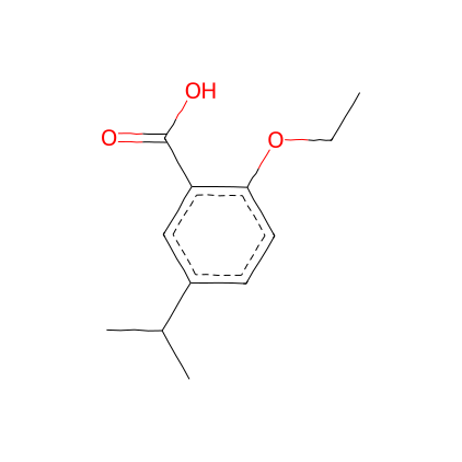 CCOc1ccc(C(C)C)cc1C(=O)O